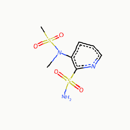 CN(c1cccnc1S(N)(=O)=O)S(C)(=O)=O